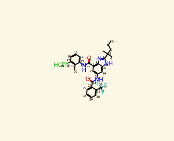 CCCC(C)(C)c1nc2c(C(=O)Nc3cccc(Cl)c3C)cc(NC(=O)c3ccccc3C(F)(F)F)cc2[nH]1.Cl